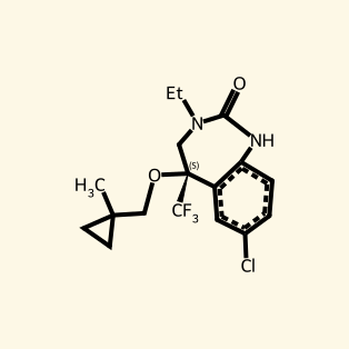 CCN1C[C@](OCC2(C)CC2)(C(F)(F)F)c2cc(Cl)ccc2NC1=O